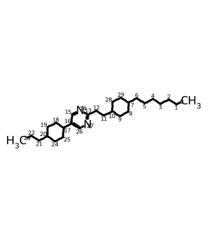 CCCCCCCC1CCC(CCc2ncc(C3CCC(CCC)CC3)cn2)CC1